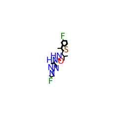 Cc1c(C(NC(=O)Nc2cnc(N3CC(F)C3)nc2)C(C)C)sc2ccc(F)cc12